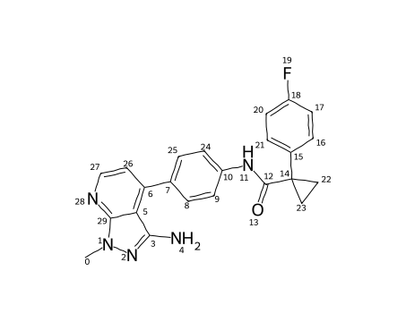 Cn1nc(N)c2c(-c3ccc(NC(=O)C4(c5ccc(F)cc5)CC4)cc3)ccnc21